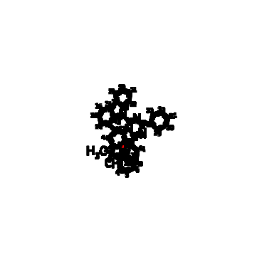 CC1(C)c2ccccc2-c2ccc(-c3cccc4c5ccccc5n(-c5nc(-c6ccccc6)nc(-c6ccccc6)n5)c34)cc21